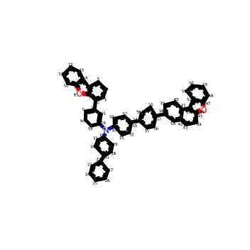 C1=C(c2cccc3c2oc2ccccc23)C=C(N(c2ccc(-c3ccccc3)cc2)c2ccc(-c3ccc(-c4ccc5c(ccc6oc7ccccc7c65)c4)cc3)cc2)CC1